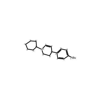 CC(C)(C)c1ccc(C2C=CN(C3CCCCC3)CC2)cc1